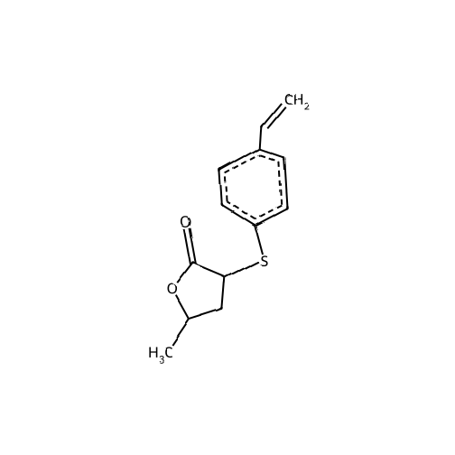 C=Cc1ccc(SC2CC(C)OC2=O)cc1